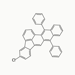 Clc1ccc2c(c1)-c1cccc3c1c-2cc1c(-c2ccccc2)c2ccccc2c(-c2ccccc2)c13